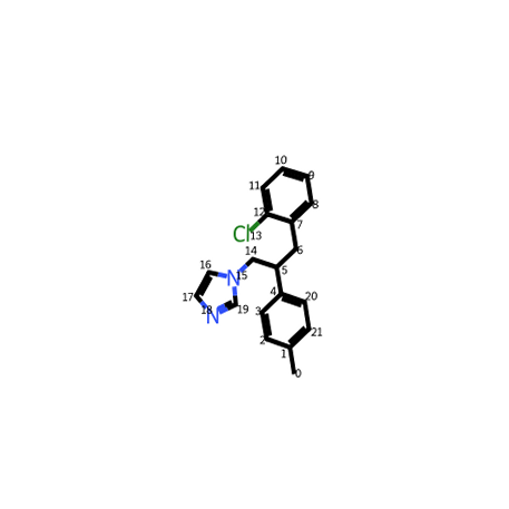 Cc1ccc(C(Cc2ccccc2Cl)Cn2ccnc2)cc1